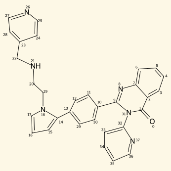 O=c1c2ccccc2nc(-c2ccc(-c3cccn3CCNCc3ccncc3)cc2)n1-c1ccccn1